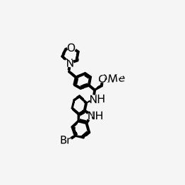 COCC(N[C@@H]1CCCc2c1[nH]c1ccc(Br)cc21)c1ccc(CN2CCOCC2)cc1